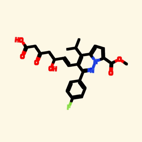 COC(=O)c1ccc2c(C(C)C)c(C=CC(O)CC(=O)CC(=O)O)c(-c3ccc(F)cc3)nn12